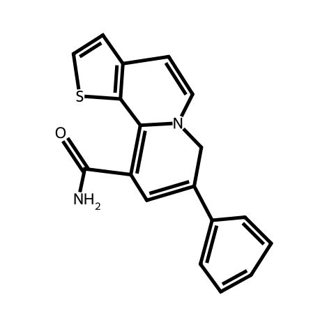 NC(=O)C1=C2c3sccc3C=CN2CC(c2ccccc2)=C1